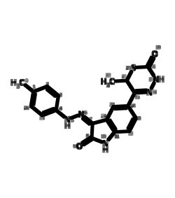 Cc1ccc(NN=C2C(=O)Nc3ccc(C4=NNC(=O)SC4C)cc32)cc1